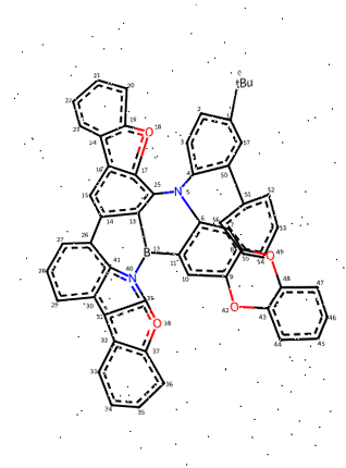 CC(C)(C)c1ccc(N2c3cc4c(cc3B3c5c(cc6c(oc7ccccc76)c52)-c2cccc5c6c7ccccc7oc6n3c25)Oc2ccccc2O4)c(-c2ccccc2)c1